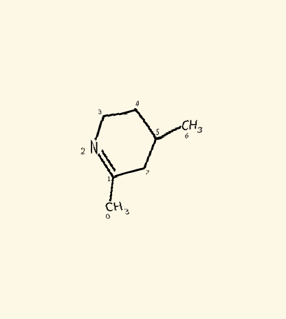 CC1=NCCC(C)C1